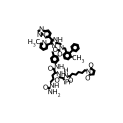 Cc1cccc(-c2nc(CN(Cc3cccc(C)c3-c3ccccc3)C(=O)OCc3ccc(NC(=O)C(CCCNC(N)=O)NC(=O)C(NC(=O)CCCCCN4C(=O)C=CC4=O)C(C)C)cc3)[nH]c2-c2ccc3ncnn3c2)n1